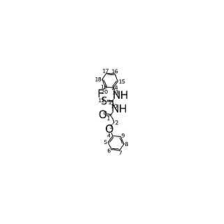 O=C(COc1ccccc1)NC(=S)Nc1ccccc1F